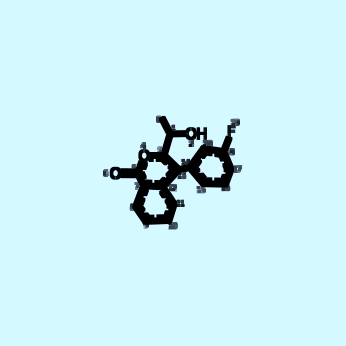 CC(O)c1oc(=O)c2ccccc2c1-c1cccc(F)c1